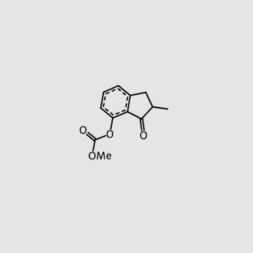 COC(=O)Oc1cccc2c1C(=O)C(C)C2